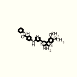 COc1cc2ncc3c(N)nc(-c4cncc(Nc5ccc(C(=O)Nc6ccccc6)cc5)c4)cc3c2cc1OC